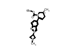 C[C@H]1CC=C(c2ccc3nn(C4CN(C)C4)cc3c2)N(C(=O)OC(C)(C)C)C1